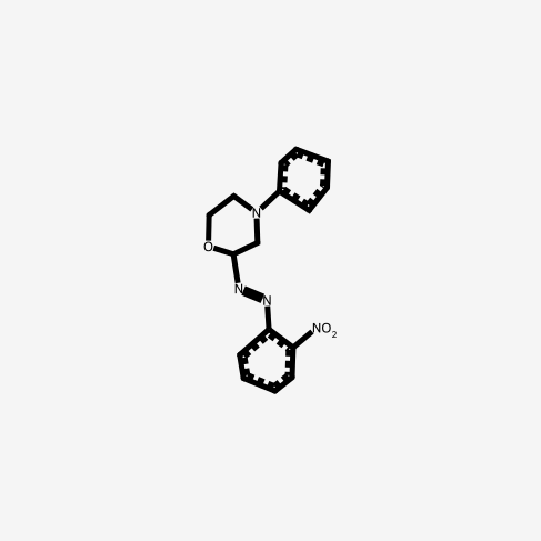 O=[N+]([O-])c1ccccc1N=NC1CN(c2ccccc2)CCO1